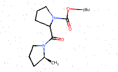 C[C@H]1CCCN1C(=O)C1CCCN1C(=O)OC(C)(C)C